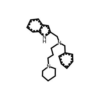 c1ccc(CN(CCCN2CCCCC2)Cc2cc3ccccc3[nH]2)cc1